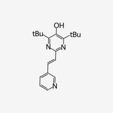 CC(C)(C)c1nc(/C=C/c2cccnc2)nc(C(C)(C)C)c1O